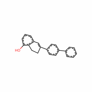 Oc1cccc2c1CCC(c1ccc(-c3ccccc3)cc1)=C2